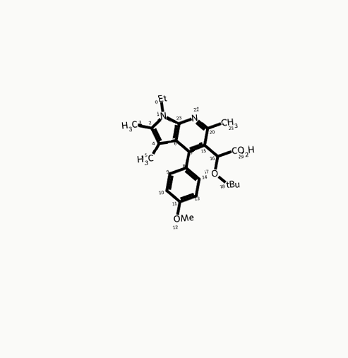 CCn1c(C)c(C)c2c(-c3ccc(OC)cc3)c(C(OC(C)(C)C)C(=O)O)c(C)nc21